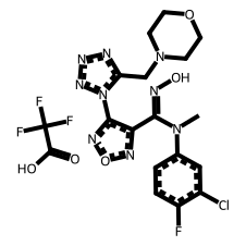 CN(C(=NO)c1nonc1-n1nnnc1CN1CCOCC1)c1ccc(F)c(Cl)c1.O=C(O)C(F)(F)F